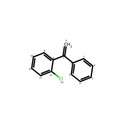 C=C(c1ccccc1)c1ccccc1Cl